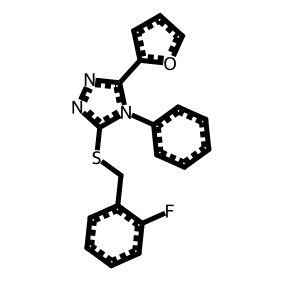 Fc1ccccc1CSc1nnc(-c2ccco2)n1-c1ccccc1